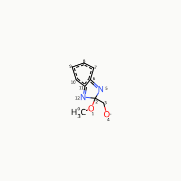 COC1(C[O])N=c2ccccc2=N1